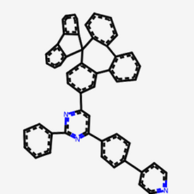 c1ccc(-c2nc(-c3ccc(-c4ccncc4)cc3)cc(-c3ccc4c(c3)-c3ccccc3-c3ccccc3C43c4ccccc4-c4ccccc43)n2)cc1